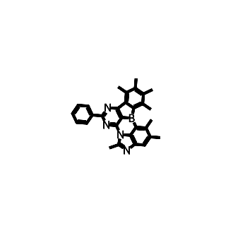 Cc1cc2nc(C)n3c2c(c1C)B1c2c(nc(-c4ccccc4)nc2-3)-c2c(C)c(C)c(C)c(C)c21